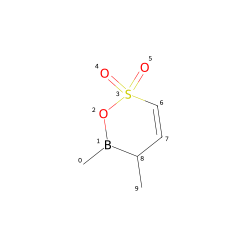 CB1OS(=O)(=O)C=CC1C